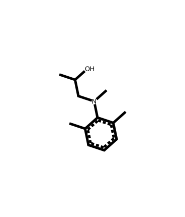 Cc1cccc(C)c1N(C)CC(C)O